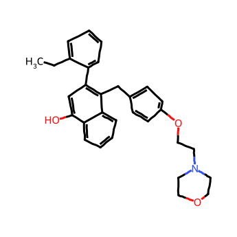 CCc1ccccc1-c1cc(O)c2ccccc2c1Cc1ccc(OCCN2CCOCC2)cc1